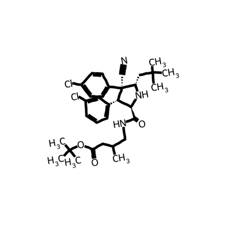 CC(CNC(=O)[C@@H]1N[C@@H](CC(C)(C)C)[C@](C#N)(c2ccc(Cl)cc2)[C@H]1c1cccc(Cl)c1)CC(=O)OC(C)(C)C